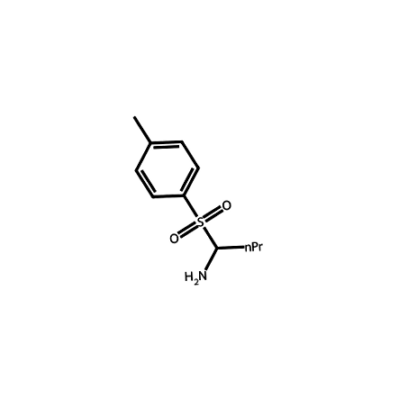 CCCC(N)S(=O)(=O)c1ccc(C)cc1